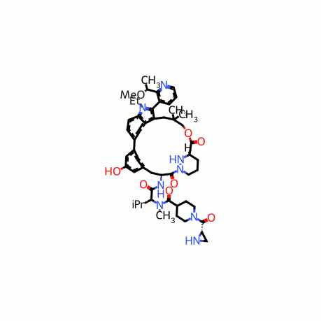 CCn1c(-c2cccnc2[C@H](C)OC)c2c3cc(ccc31)-c1cc(O)cc(c1)C[C@H](NC(=O)C(C(C)C)N(C)C(=O)C1CCN(C(=O)[C@@H]3CN3)CC1)C(=O)N1CCC[C@H](N1)C(=O)OCC(C)(C)C2